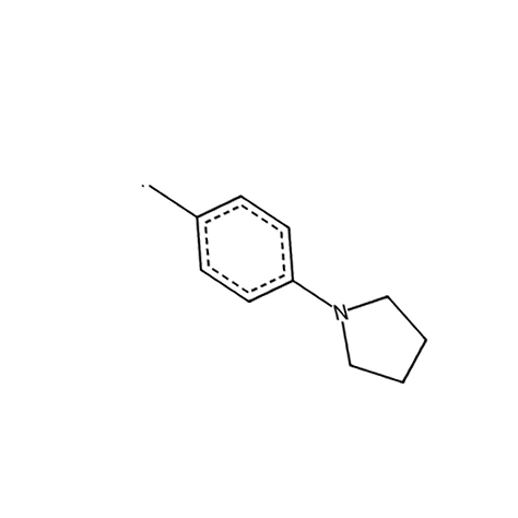 [CH2]c1ccc(N2CCCC2)cc1